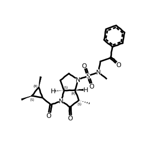 C[C@@H]1C(=O)N(C(=O)C2[C@@H](C)[C@H]2C)[C@H]2CCN(S(=O)(=O)N(C)CC(=O)c3ccccc3)[C@H]12